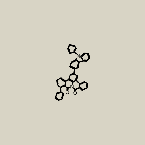 O=c1c2ccccc2c2cc(-c3ccc4c(c3)c3ccccc3n4-c3ccccc3)cc3c4cccc(-c5ccccc5)c4c(=O)n1c23